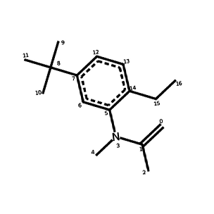 C=C(C)N(C)c1cc(C(C)(C)C)ccc1CC